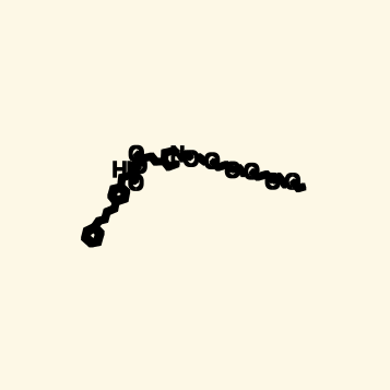 CCOCCOCCOCCOCCOCCOCN1CCC(CCC(=O)ONC(=O)Cc2ccc(CCCCc3ccccc3)cc2)CC1